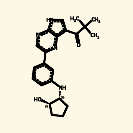 CC(C)(C)C(=O)c1c[nH]c2ncc(-c3cccc(N[C@@H]4CCC[C@H]4O)c3)nc12